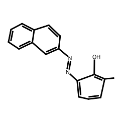 Cc1cccc(N=Nc2ccc3ccccc3c2)c1O